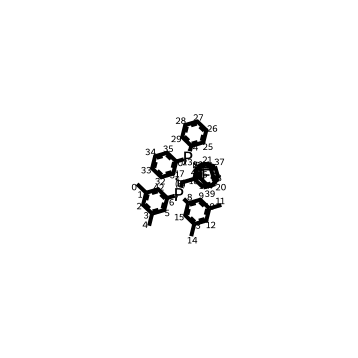 Cc1cc(C)cc(P(c2cc(C)cc(C)c2)[C@H](C)[C]23[CH]4[CH]5[CH]6[C@@]2(P(c2ccccc2)c2ccccc2)[Fe]54632789[CH]3[CH]2[CH]7[CH]8[CH]39)c1